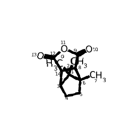 CC1(C)C2CCC1(C)C1C(=O)OC(=O)C21